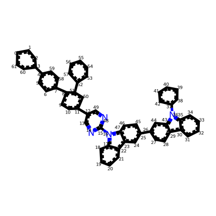 c1ccc(-c2ccc(-c3ccc(-c4cnc(-n5c6ccccc6c6cc(-c7ccc8c9ccccc9n(-c9ccccc9)c8c7)ccc65)nc4)cc3-c3ccccc3)cc2)cc1